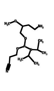 COC(CCN)COP(OCCC#N)N(C(C)C)C(C)C